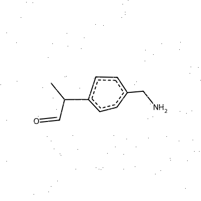 CC(C=O)c1ccc(CN)cc1